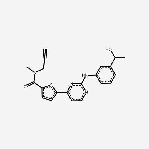 C#CCN(C)C(=O)c1ccc(-c2ccnc(Nc3cccc(C(C)O)c3)n2)s1